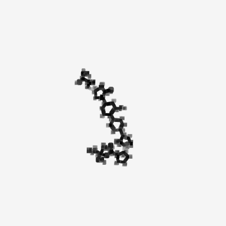 CC(=O)NC[C@H]1CN(c2ccc(-c3ccc(-c4cnc([C@@H]5CCCN5C(=O)OC(C)(C)C)[nH]4)cc3)c(F)c2)C(=O)O1